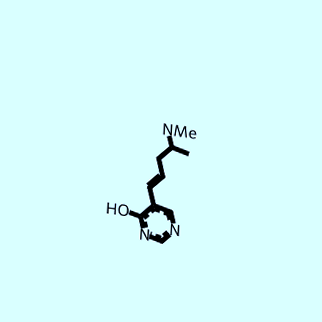 CNC(C)CC=Cc1cncnc1O